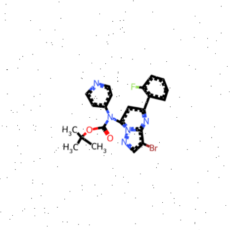 CC(C)(C)OC(=O)N(c1ccncc1)c1cc(-c2ccccc2F)nc2c(Br)cnn12